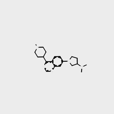 CN(C)C1CCN(c2ccc3c(C4CCN(C(=O)O)CC4)ncnc3c2)C1